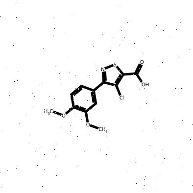 COc1ccc(-c2nsc(C(=O)O)c2Cl)cc1OC